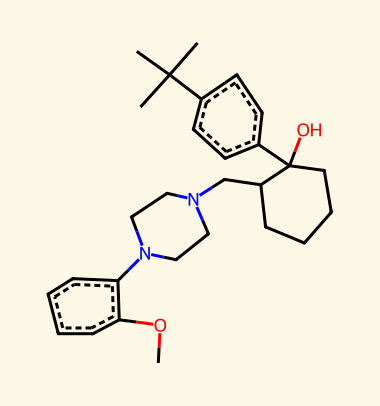 COc1ccccc1N1CCN(CC2CCCCC2(O)c2ccc(C(C)(C)C)cc2)CC1